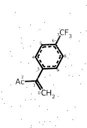 C=C(C(C)=O)c1ccc(C(F)(F)F)cc1